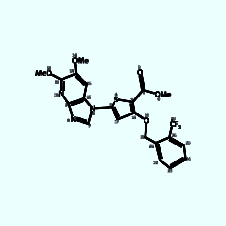 COC(=O)c1sc(-n2cnc3nc(OC)c(OC)cc32)cc1OCc1ccccc1C(F)(F)F